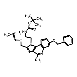 CC(C)=NOCc1nc2c(N)nc3cc(OCc4ccccc4)ccc3c2n1CCNC(=O)OC(C)(C)C